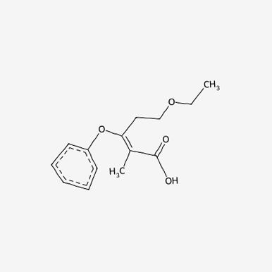 CCOCCC(Oc1ccccc1)=C(C)C(=O)O